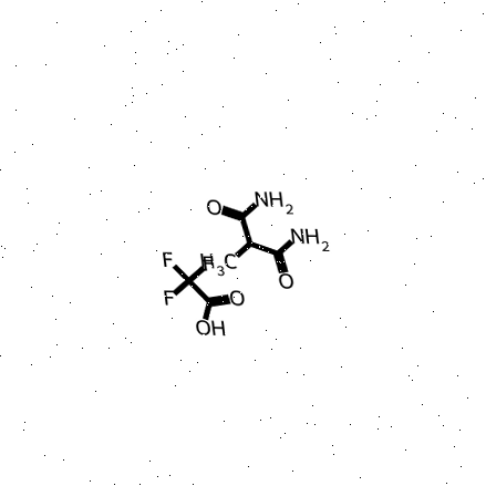 CC(C(N)=O)C(N)=O.O=C(O)C(F)(F)F